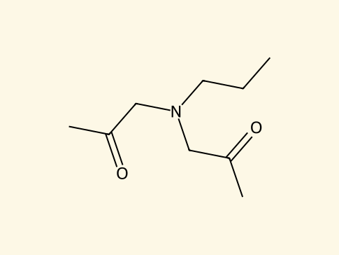 CCCN(CC(C)=O)CC(C)=O